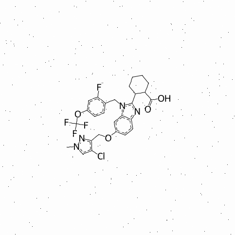 Cn1cc(Cl)c(COc2ccc3nc(C4CCCCC4C(=O)O)n(Cc4ccc(OC(F)(F)F)cc4F)c3c2)n1